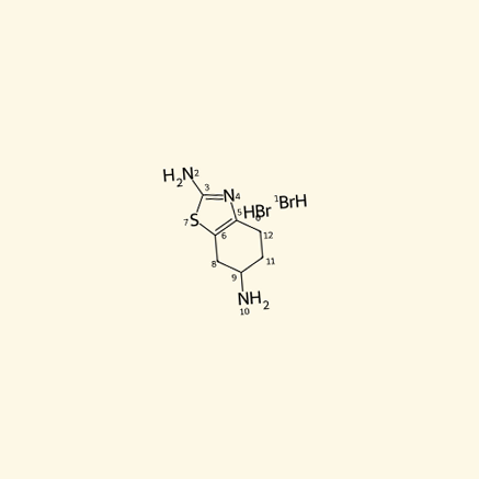 Br.Br.Nc1nc2c(s1)CC(N)CC2